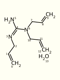 C=CCN=C(N)N(CC=C)CC=C.O